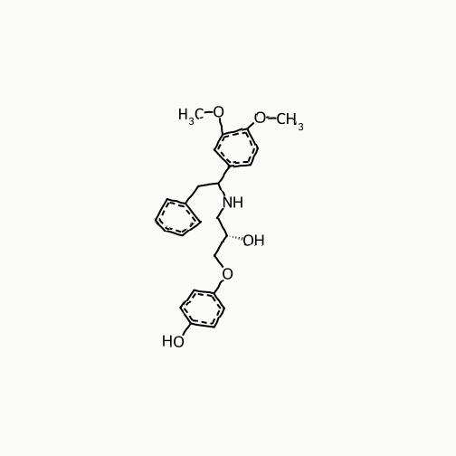 COc1ccc(C(Cc2ccccc2)NC[C@H](O)COc2ccc(O)cc2)cc1OC